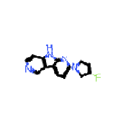 F[C@H]1CCN(c2ccc3c(n2)[nH]c2ccncc23)C1